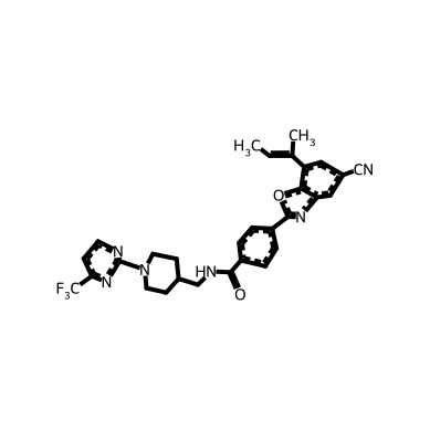 CC=C(C)c1cc(C#N)cc2nc(-c3ccc(C(=O)NCC4CCN(c5nccc(C(F)(F)F)n5)CC4)cc3)oc12